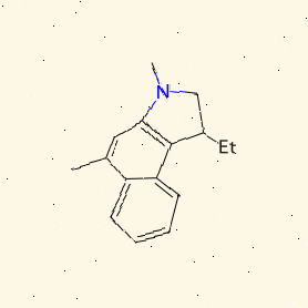 CCC1CN(C)c2cc(C)c3ccccc3c21